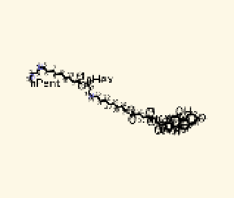 CCCCC/C=C\C/C=C\CCCCCCCC(=O)O[C@@H](C/C=C\CCCCCCCCOC(=O)CCC(=O)OCC(=O)[C@@]1(O)[C@H](C)C[C@H]2[C@@H]3CCC4=CC(=O)C=C[C@]4(C)[C@@]3(F)[C@@H](O)C[C@@]21C)CCCCCC